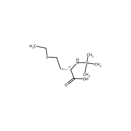 CCSCC[C@H](N[Si](C)(C)C)C(=O)O